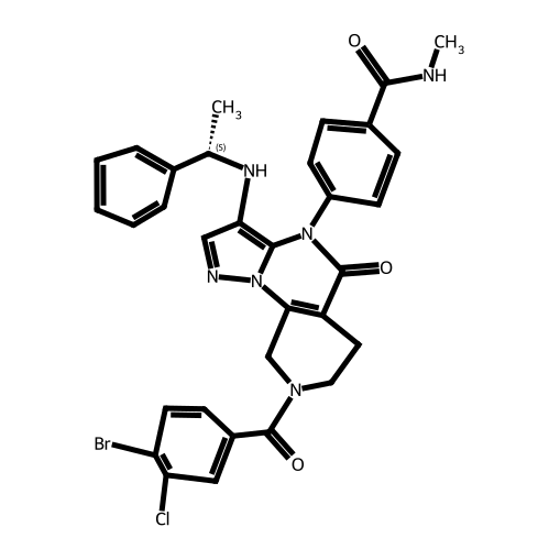 CNC(=O)c1ccc(-n2c(=O)c3c(n4ncc(N[C@@H](C)c5ccccc5)c24)CN(C(=O)c2ccc(Br)c(Cl)c2)CC3)cc1